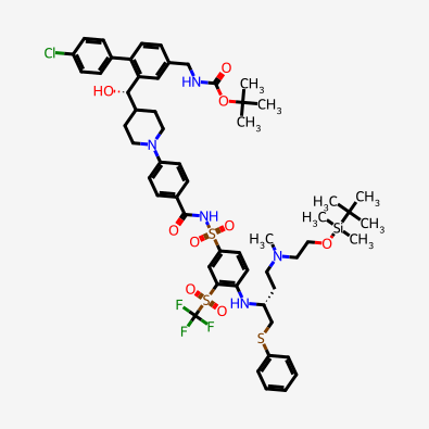 CN(CCO[Si](C)(C)C(C)(C)C)CC[C@H](CSc1ccccc1)Nc1ccc(S(=O)(=O)NC(=O)c2ccc(N3CCC([C@H](O)c4cc(CNC(=O)OC(C)(C)C)ccc4-c4ccc(Cl)cc4)CC3)cc2)cc1S(=O)(=O)C(F)(F)F